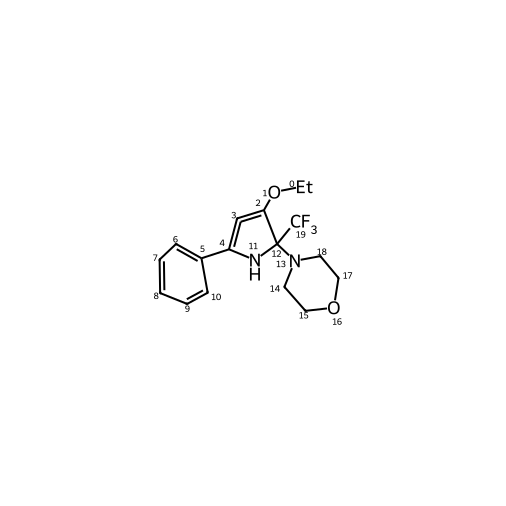 CCOC1=C=C(c2ccccc2)NC1(N1CCOCC1)C(F)(F)F